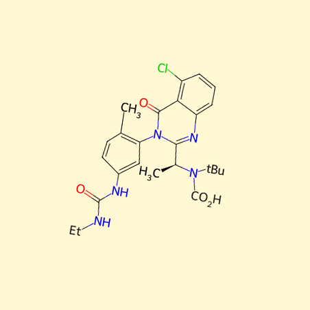 CCNC(=O)Nc1ccc(C)c(-n2c([C@H](C)N(C(=O)O)C(C)(C)C)nc3cccc(Cl)c3c2=O)c1